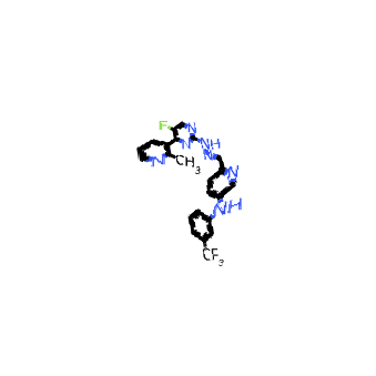 Cc1ncccc1-c1nc(N/N=C/c2ccc(Nc3cccc(C(F)(F)F)c3)cn2)ncc1F